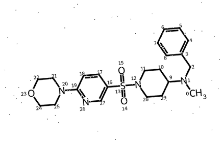 CN(Cc1ccccc1)C1CCN(S(=O)(=O)c2ccc(N3CCOCC3)nc2)CC1